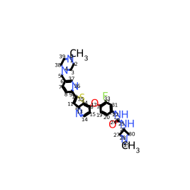 CN1CCN(Cc2ccc(-c3cc4nccc(Oc5ccc(NC(=O)NC6CN(C)C6)cc5F)c4s3)nc2)CC1